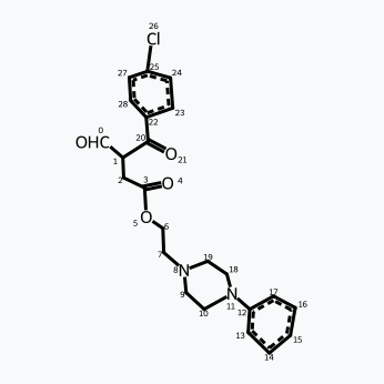 O=CC(CC(=O)OCCN1CCN(c2ccccc2)CC1)C(=O)c1ccc(Cl)cc1